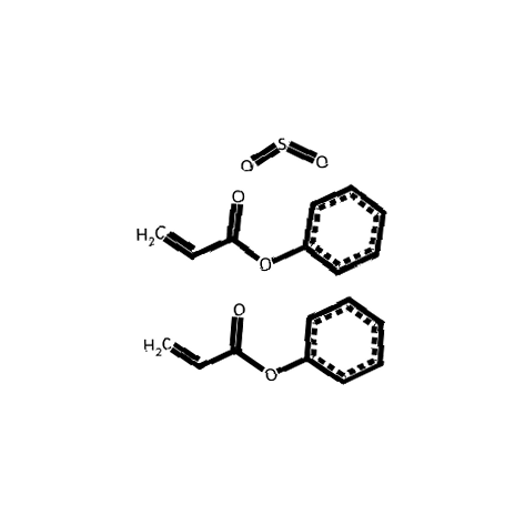 C=CC(=O)Oc1ccccc1.C=CC(=O)Oc1ccccc1.O=S=O